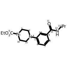 CCOC(=O)N1CCN(c2cccc(C(=O)NC(C)C)c2)CC1